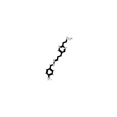 O=C(O)CCc1ncc(CCC=NOCc2ccc(C(F)(F)F)cc2)cn1